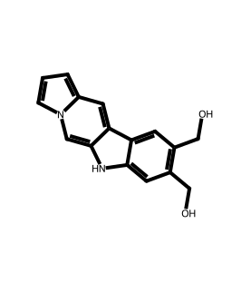 OCc1cc2[nH]c3cn4cccc4cc3c2cc1CO